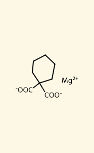 O=C([O-])C1(C(=O)[O-])CCCCC1.[Mg+2]